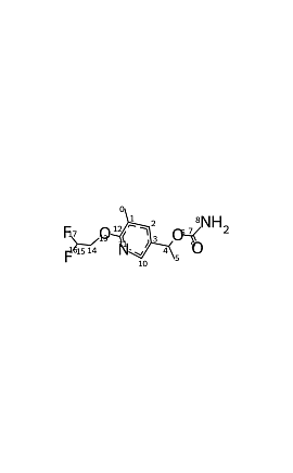 Cc1cc(C(C)OC(N)=O)cnc1OCC(F)F